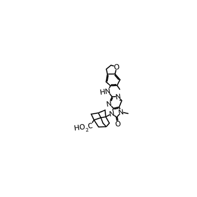 Cc1cc2c(cc1Nc1ncc3c(n1)n(C14CC5CC6(C(=O)O)CC(C1)C64C5)c(=O)n3C)CCO2